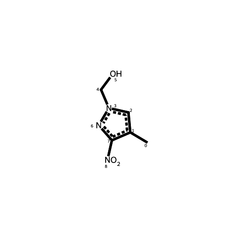 Cc1cn(CO)nc1[N+](=O)[O-]